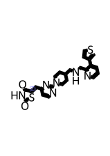 O=C1NC(=O)/C(=C/c2ccnc(N3CCC(CNCc4ncccc4-c4ccsc4)CC3)n2)S1